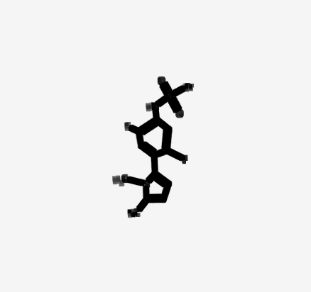 CC(C)S(=O)(=O)Nc1cc(F)c(-c2ccc(C#N)n2C)cc1F